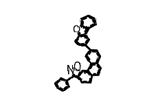 c1ccc(-c2noc3c2ccc2ccc4ccc(-c5ccc6oc7ccccc7c6c5)cc4c23)cc1